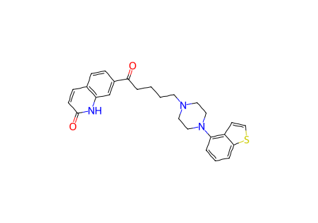 O=C(CCCCN1CCN(c2cccc3sccc23)CC1)c1ccc2ccc(=O)[nH]c2c1